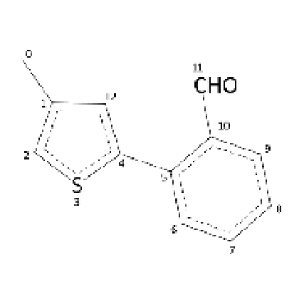 Cc1csc(-c2ccccc2C=O)c1